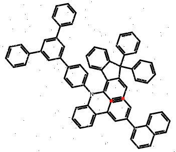 c1ccc(-c2cc(-c3ccccc3)cc(-c3ccc(N(c4ccccc4-c4cccc(-c5cccc6ccccc56)c4)c4cccc5c4-c4ccccc4C5(c4ccccc4)c4ccccc4)cc3)c2)cc1